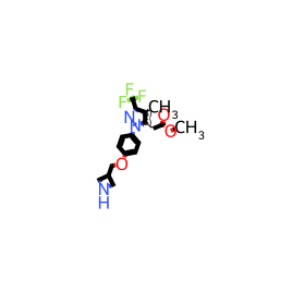 COC(=O)C[C@H]1[C@H](C)C(C(F)(F)F)=NN1c1ccc(OCC2CNC2)cc1